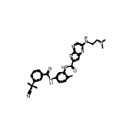 Cc1ccc(NC(=O)c2cccc(C(C)(C)C#N)c2)cc1NC(=O)c1cc2nc(NCCN(C)C)cnc2s1